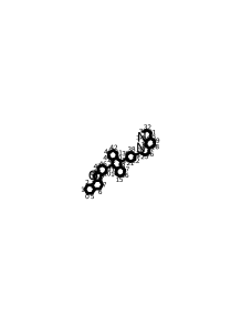 c1ccc2c(c1)ccc1c3cc(-c4c5ccccc5c(-c5ccc(-c6ccc7ccc8cccnc8c7n6)cc5)c5ccccc45)ccc3oc21